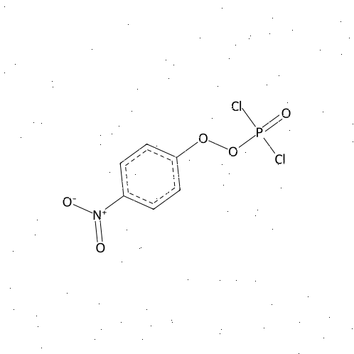 O=[N+]([O-])c1ccc(OOP(=O)(Cl)Cl)cc1